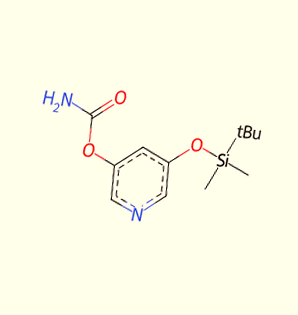 CC(C)(C)[Si](C)(C)Oc1cncc(OC(N)=O)c1